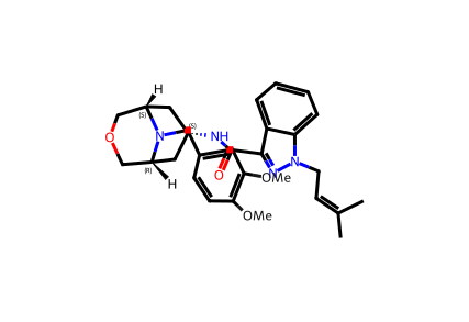 COc1ccc(CN2[C@@H]3COC[C@H]2C[C@@H](NC(=O)c2nn(CC=C(C)C)c4ccccc24)C3)cc1OC